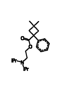 CC(C)N(CCOC(=O)C1(c2ccccc2)CC(C)(C)C1)C(C)C